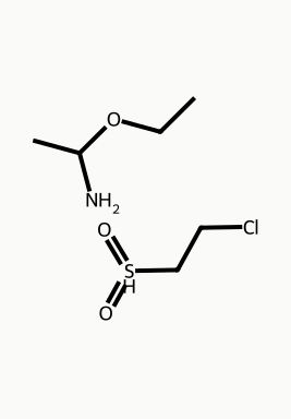 CCOC(C)N.O=[SH](=O)CCCl